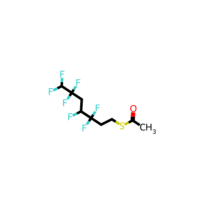 CC(=O)SCCC(F)(F)C(F)CC(F)(F)C(F)F